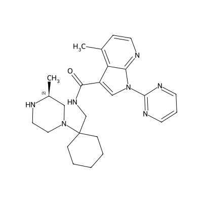 Cc1ccnc2c1c(C(=O)NCC1(N3CCN[C@@H](C)C3)CCCCC1)cn2-c1ncccn1